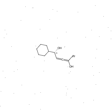 CC(C)C(O)=C=C[C@@H](O)C1CCCCC1